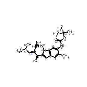 Cc1cc2cc(C(=O)/C(C#N)=C/N(C)C)n(S)c2cc1NC(=O)OC(C)(C)C